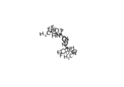 Cc1nocc1C(=O)N[C@H](c1cn2ncc([C@H](NC(=O)C[C@@H](C)C(F)(F)F)C3CC3)cc2n1)C1CCC(F)(F)CC1